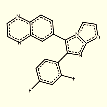 Fc1ccc(-c2nc3occn3c2-c2ccc3nccnc3c2)c(F)c1